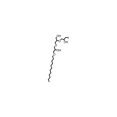 CCCCCCCCCCCCOCC(O)COCC(CO)OCC(O)CI